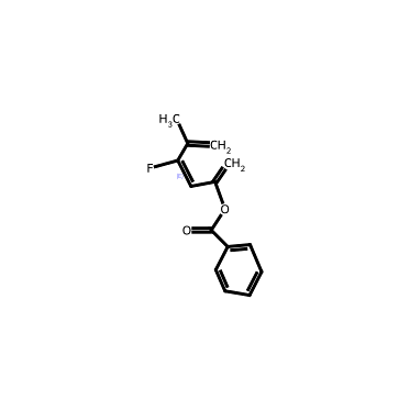 C=C(/C=C(/F)C(=C)C)OC(=O)c1ccccc1